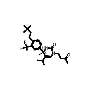 CC(=O)CCN1C=C(C(C)C)[C@](C)(c2ccc(CCC(C)(C)C)c(C(F)(F)F)c2)NC1=O